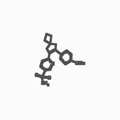 COc1ccc(C2=C(c3ccc(S(N)(=O)=O)cn3)CC3(CCC3)C2)cc1